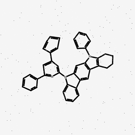 c1ccc(-c2cc(-c3ccccc3)nc(-n3c4ccccc4c4cc5c6c(n(-c7ccccc7)c5cc43)CCCC6)c2)cc1